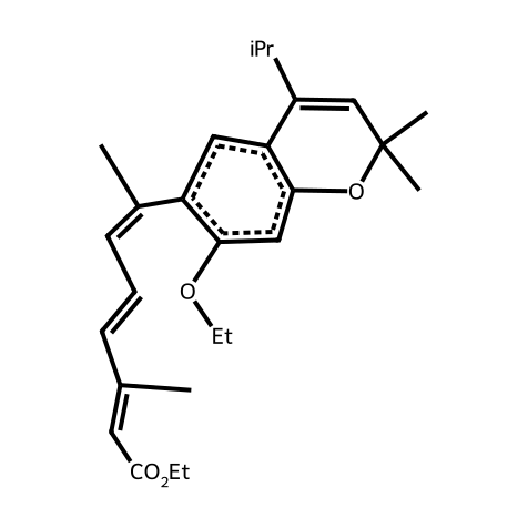 CCOC(=O)/C=C(C)/C=C/C=C(/C)c1cc2c(cc1OCC)OC(C)(C)C=C2C(C)C